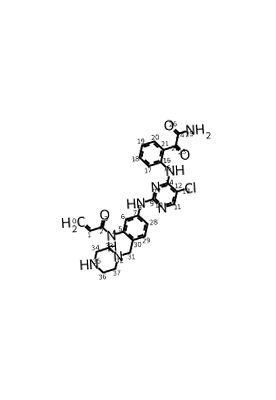 C=CC(=O)Nc1cc(Nc2ncc(Cl)c(Nc3ccccc3C(=O)C(N)=O)n2)ccc1CN1CCNCC1